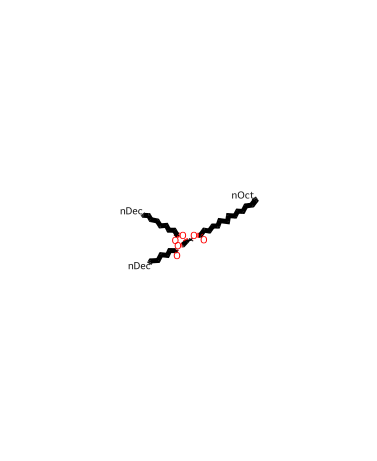 CCCCCCCC/C=C\CCCCCCCCCCCC(=O)OC[C@@H](COC(=O)CCCCCCCCCCCCCCC)OC(=O)CCCCCCCCCCCCCCCCCC